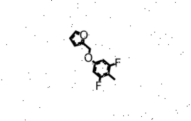 Cc1c(F)cc(OCc2ccco2)cc1F